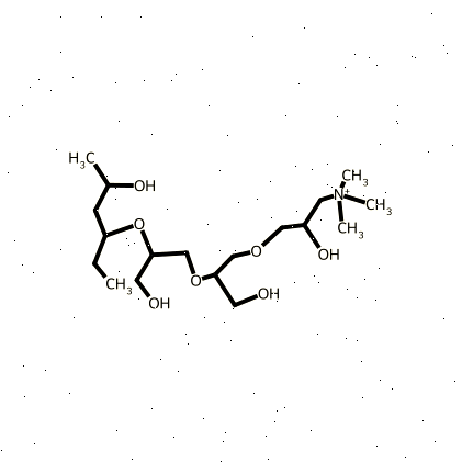 CCC(CC(C)O)OC(CO)COC(CO)COCC(O)C[N+](C)(C)C